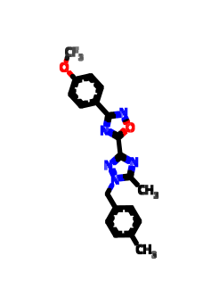 Cc1ccc(Cn2nc(-c3nc(-c4ccc(OC(F)(F)F)cc4)no3)nc2C)cc1